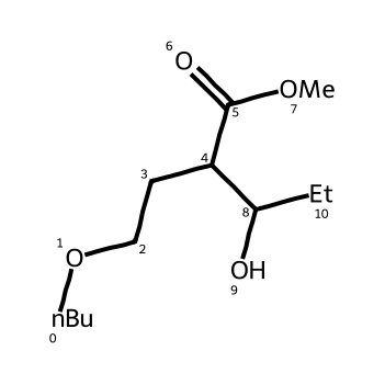 CCCCOCCC(C(=O)OC)C(O)CC